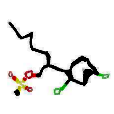 CCCCCC(COS(C)(=O)=O)c1ccc(Cl)cc1Cl